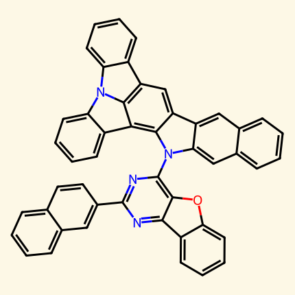 c1ccc2cc(-c3nc(-n4c5cc6ccccc6cc5c5cc6c7ccccc7n7c8ccccc8c(c54)c67)c4oc5ccccc5c4n3)ccc2c1